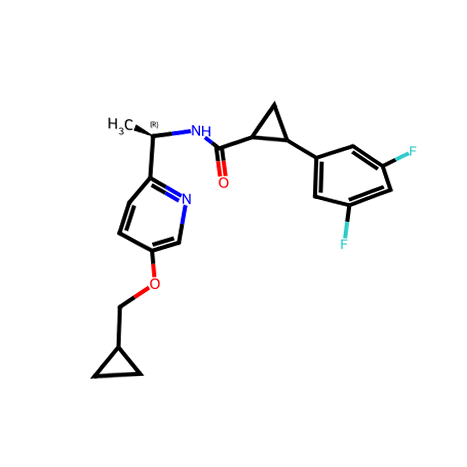 C[C@@H](NC(=O)C1CC1c1cc(F)cc(F)c1)c1ccc(OCC2CC2)cn1